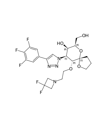 OC[C@H]1O[C@@]2(CCCO2)[C@H](OCCN2CC(F)(F)C2)[C@@H](n2cc(-c3cc(F)c(F)c(F)c3)nn2)[C@H]1O